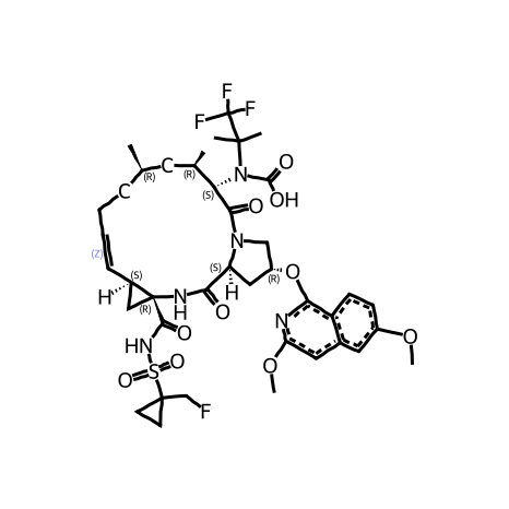 COc1ccc2c(O[C@@H]3C[C@H]4C(=O)N[C@]5(C(=O)NS(=O)(=O)C6(CF)CC6)C[C@H]5/C=C\CC[C@@H](C)C[C@@H](C)[C@H](N(C(=O)O)C(C)(C)C(F)(F)F)C(=O)N4C3)nc(OC)cc2c1